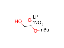 CCCCOCCO.O=[N+]([O-])[O-].[Li+]